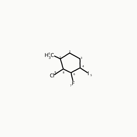 CC1CCC(I)C(F)C1Cl